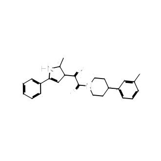 Cc1cccc(C2CCN(C(=O)C(=O)C3C=C(c4ccccc4)NC3C)CC2)c1